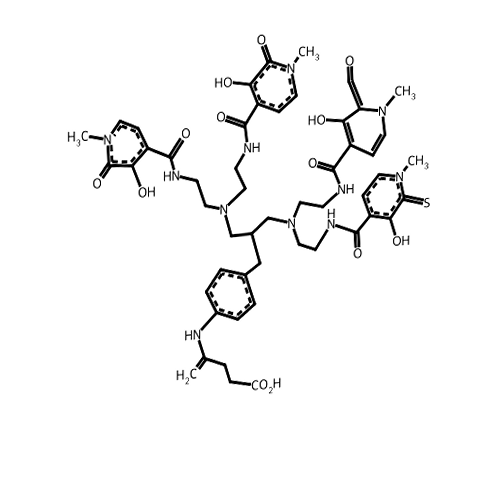 C=C(CCC(=O)O)Nc1ccc(CC(CN(CCNC(=O)c2ccn(C)c(=O)c2O)CCNC(=O)c2ccn(C)c(=O)c2O)CN(CCNC(=O)C2=C(O)C(=C=O)N(C)C=C2)CCNC(=O)c2ccn(C)c(=S)c2O)cc1